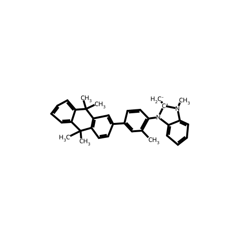 [CH2-][c+]1n(C)c2ccccc2n1-c1ccc(-c2ccc3c(c2)C(C)(C)c2ccccc2C3(C)C)cc1C